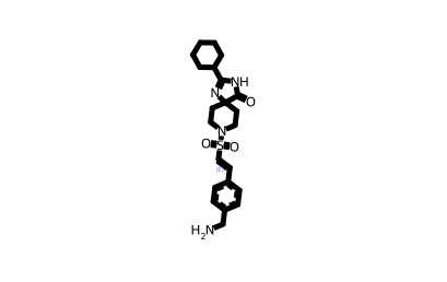 NCc1ccc(/C=C/S(=O)(=O)N2CCC3(CC2)N=C(C2CCCCC2)NC3=O)cc1